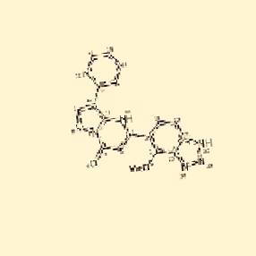 COc1c(-c2cc(=O)n3ncc(-c4ccccn4)c3[nH]2)ccc2[nH]nnc12